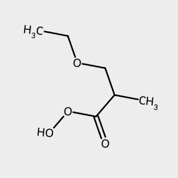 CCOCC(C)C(=O)OO